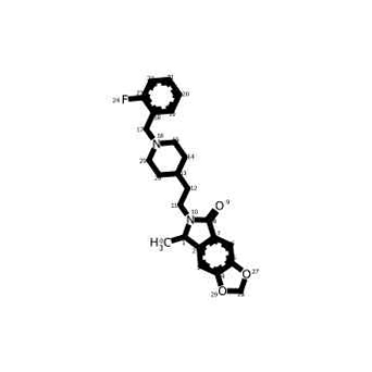 CC1c2cc3c(cc2C(=O)N1CCC1CCN(Cc2ccccc2F)CC1)OCO3